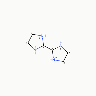 C1CN[C](C2NCCN2)N1